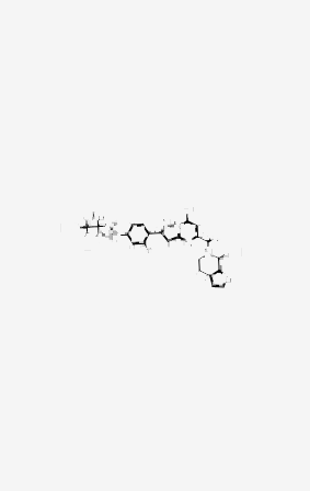 CCc1cc(C(=O)N2CCc3ccsc3C2C)nc2cc(-c3ccc(BOC(C)(C)C(C)(C)O)cc3F)nn12